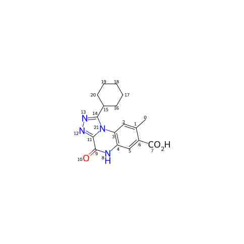 Cc1cc2c(cc1C(=O)O)[nH]c(=O)c1nnc(C3CCCCC3)n12